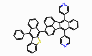 c1ccc(-c2c3ccccc3c(-c3ccc4c5c(cccc35)-c3c-4c(-c4ccncc4)c4ccccc4c3-c3ccncc3)c3sc4ccccc4c23)cc1